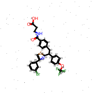 O=C(O)CCNC(=O)c1ccc(CC(c2ccc(OC(F)(F)F)cc2)c2nc(-c3cccc(Br)c3)cs2)cc1